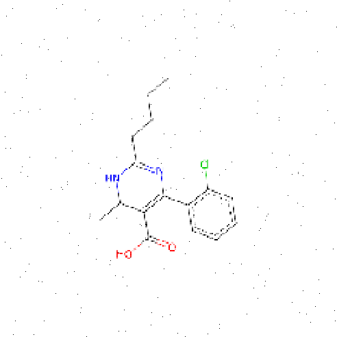 CCCCC1=NC(c2ccccc2Cl)=C(C(=O)O)C(C)N1